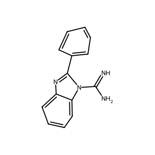 N=C(N)n1c(-c2ccccc2)nc2ccccc21